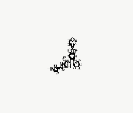 O=C(Nc1cc2oc(N3CCOCC3)nc2cc1N1CCCCC1)c1csc(-c2cc[nH]n2)n1